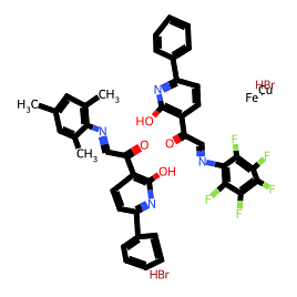 Br.Br.Cc1cc(C)c(N=CC(=O)c2ccc(-c3ccccc3)nc2O)c(C)c1.O=C(C=Nc1c(F)c(F)c(F)c(F)c1F)c1ccc(-c2ccccc2)nc1O.[Cu].[Fe]